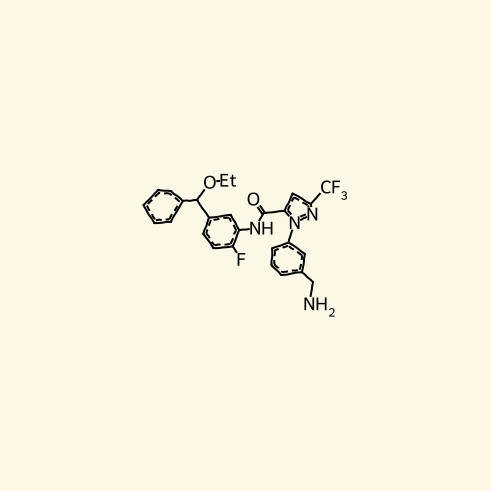 CCOC(c1ccccc1)c1ccc(F)c(NC(=O)c2cc(C(F)(F)F)nn2-c2cccc(CN)c2)c1